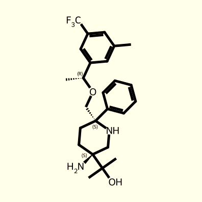 Cc1cc([C@@H](C)OC[C@@]2(c3ccccc3)CC[C@@](N)(C(C)(C)O)CN2)cc(C(F)(F)F)c1